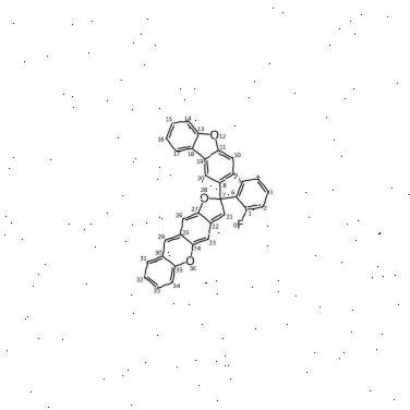 Fc1ccccc1C1(c2ccc3oc4ccccc4c3c2)C=c2cc3c(cc2O1)=Cc1ccccc1O3